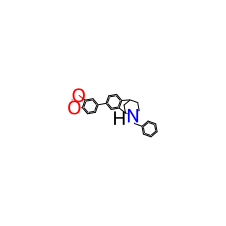 c1ccc(CN2CCC3C[C@@H]2c2cc(-c4ccc5c(c4)OCO5)ccc23)cc1